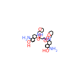 Nc1c(O)ccc2c1CCC(NCC1CCCCO1)C2OC(=O)/C=C/C(=O)OC1c2ccc(O)c(N)c2CCC1NCC1CCCCO1